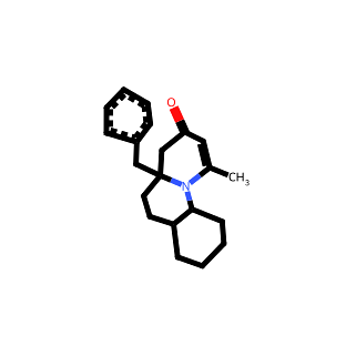 CC1=CC(=O)CC2(Cc3ccccc3)CCC3CCCCC3N12